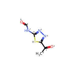 CC(=O)c1nnc(NC=O)s1